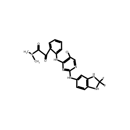 CN(C)C(=O)C(=O)c1ccccc1Nc1nc(Nc2ccc3c(c2)NC(F)(F)N3)ncc1Cl